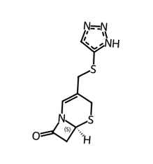 O=C1C[C@@H]2SCC(CSc3cnn[nH]3)=CN12